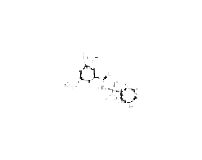 CC(NC(=O)c1cc(C(=O)O)cc(C(=O)O)c1)(C(=O)O)c1ccccc1